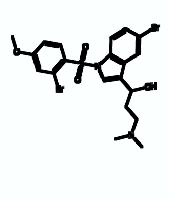 COc1ccc(S(=O)(=O)n2cc(C(O)CCN(C)C)c3cc(Br)ccc32)c(Br)c1